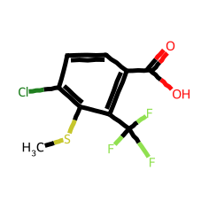 CSc1c(Cl)ccc(C(=O)O)c1C(F)(F)F